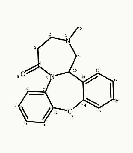 CN1CCC(=O)N2c3ccccc3Oc3ccccc3C2C1